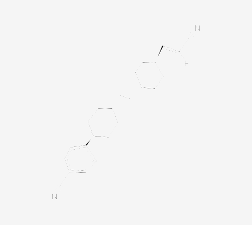 N#CC(F)=C[C@H]1CC[C@H](CC[C@H]2CC[C@H](c3ccc(C#N)cc3)CC2)CC1